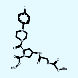 CC(C)(C)OC(=O)NCC(=O)NC1C[C@H](C(=O)N2CCN(c3ccc(Cl)cc3)CC2)N(C(=O)OC(C)(C)C)C1